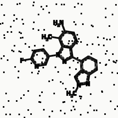 Cc1c(N)ccc2c(-c3cccc4nn(C)cc34)nn(-c3ccc(F)nc3)c12